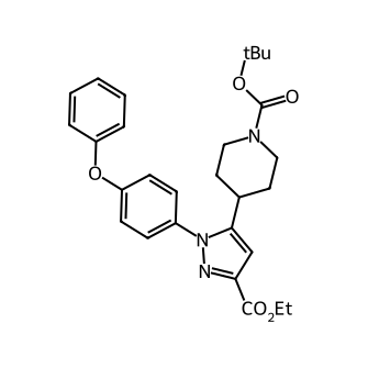 CCOC(=O)c1cc(C2CCN(C(=O)OC(C)(C)C)CC2)n(-c2ccc(Oc3ccccc3)cc2)n1